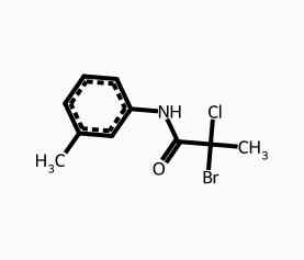 Cc1cccc(NC(=O)C(C)(Cl)Br)c1